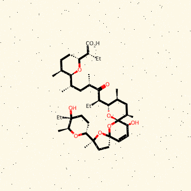 CC[C@@H](C(=O)[C@@H](C)C[C@H](C)[C@@H]1O[C@@H]([C@@H](CC)C(=O)O)CC[C@@H]1C)[C@H]1O[C@@]2(O[C@]3(C=C[C@@H]2O)CC[C@@](C)([C@H]2CC[C@](O)(CC)[C@H](C)O2)O3)[C@H](C)C[C@@H]1C